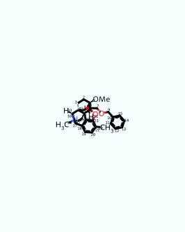 CO[C@]12CC[C@@]3(C[C@H]1COCc1ccccc1)[C@H]1Cc4ccc(C)c5c4[C@@]3(CCN1C)[C@H]2O5